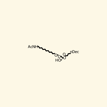 CCCCCCCCCCCCCC(=O)O[C@H](CO)COCOCCCCCCCCCCCNC(C)=O